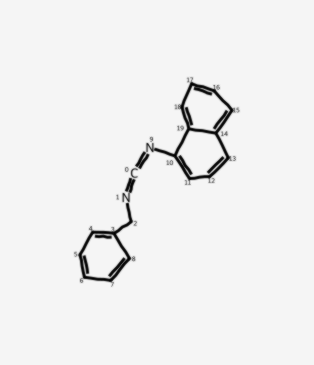 C(=NCc1ccccc1)=Nc1cccc2ccccc12